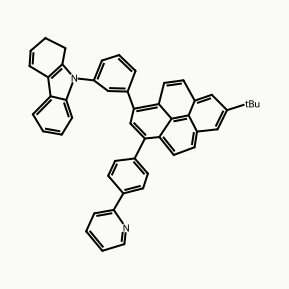 CC(C)(C)c1cc2ccc3c(-c4ccc(-c5ccccn5)cc4)cc(-c4cccc(-n5c6c(c7ccccc75)C=CCC6)c4)c4ccc(c1)c2c34